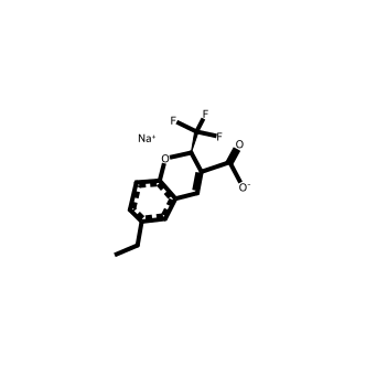 CCc1ccc2c(c1)C=C(C(=O)[O-])[C@H](C(F)(F)F)O2.[Na+]